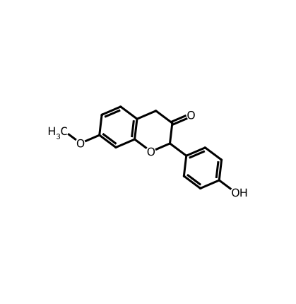 COc1ccc2c(c1)OC(c1ccc(O)cc1)C(=O)C2